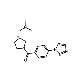 CN(C)C[C@H]1CCN(C(=O)c2ccc(-n3ccnn3)cc2)C1